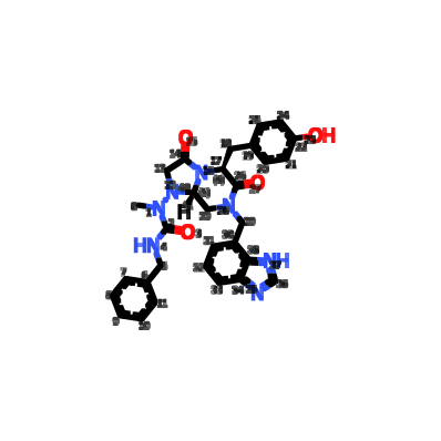 CN(C(=O)NCc1ccccc1)N1CC(=O)N2[C@@H](Cc3ccc(O)cc3)C(=O)N(Cc3cccc4nc[nH]c34)C[C@@H]21